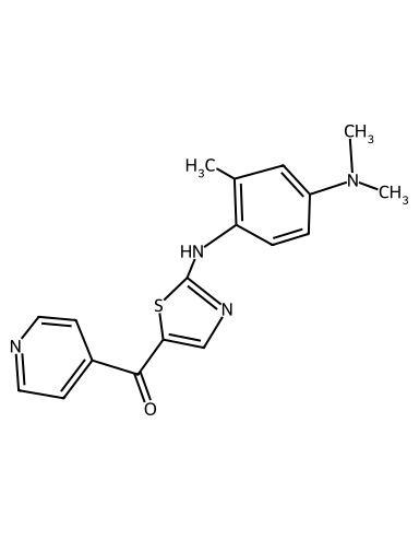 Cc1cc(N(C)C)ccc1Nc1ncc(C(=O)c2ccncc2)s1